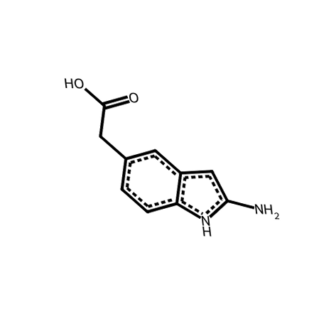 Nc1cc2cc(CC(=O)O)ccc2[nH]1